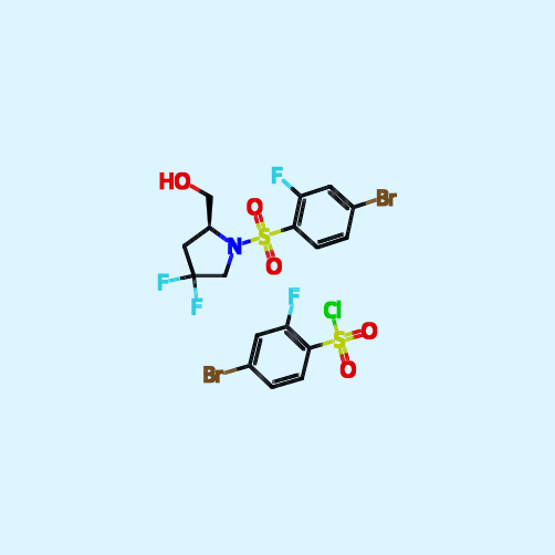 O=S(=O)(Cl)c1ccc(Br)cc1F.O=S(=O)(c1ccc(Br)cc1F)N1CC(F)(F)C[C@H]1CO